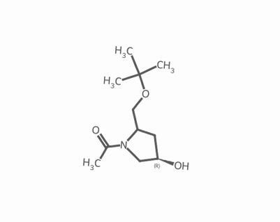 CC(=O)N1C[C@H](O)CC1COC(C)(C)C